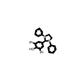 CC(C)c1cc(C2N(c3ccccc3)CCN2c2ccccc2)cc(C(C)C)c1O